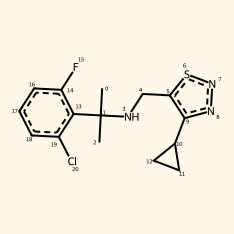 CC(C)(NCc1snnc1C1CC1)c1c(F)cccc1Cl